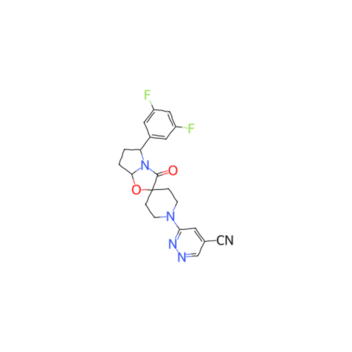 N#Cc1cnnc(N2CCC3(CC2)OC2CCC(c4cc(F)cc(F)c4)N2C3=O)c1